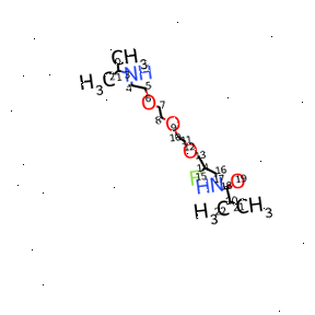 CC(C)NCCOCCOCCOCC(F)CNC(=O)C(C)C